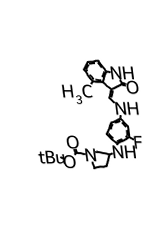 Cc1cccc2c1C(=CNc1ccc(NC3CCN(C(=O)OC(C)(C)C)C3)c(F)c1)C(=O)N2